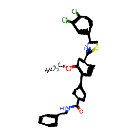 O=C(O)Oc1cc(-c2nc(-c3ccc(Cl)c(Cl)c3)cs2)ccc1-c1ccc(C(=O)NCc2ccccc2)cc1